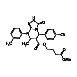 COC(=O)CCCOC(=O)C1=C(C)N(c2cccc(C(F)(F)F)c2)c2n[nH]c(=O)n2C1c1ccc(C#N)cc1